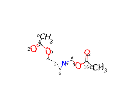 CC(=O)OCC1CN1COC(C)=O